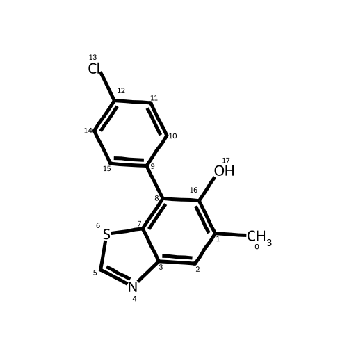 Cc1cc2ncsc2c(-c2ccc(Cl)cc2)c1O